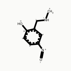 CNCc1cc(N=O)ccc1O